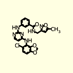 Cc1cc(CNC(=O)c2cccc(Nc3nccc(Nc4c(Cl)ccc5c4OCO5)n3)c2)no1